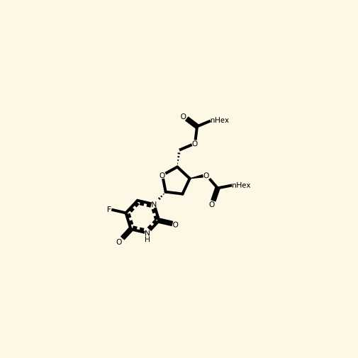 CCCCCCC(=O)OC[C@H]1O[C@@H](n2cc(F)c(=O)[nH]c2=O)C[C@@H]1OC(=O)CCCCCC